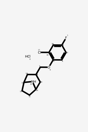 Cl.Fc1ccc(OCC2CC3CCC(C2)N3)c(Cl)c1